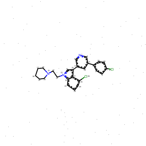 Clc1ccc(-c2cncc(-c3cn(CCN4CCCCC4)c4cccc(Cl)c34)c2)cc1